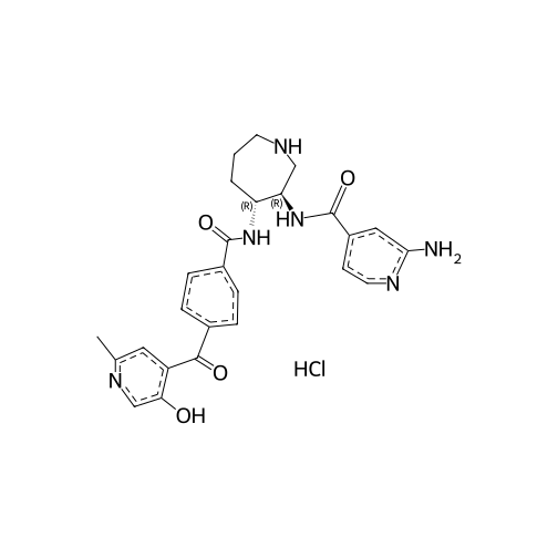 Cc1cc(C(=O)c2ccc(C(=O)N[C@@H]3CCCNC[C@H]3NC(=O)c3ccnc(N)c3)cc2)c(O)cn1.Cl